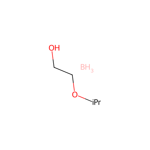 B.CC(C)OCCO